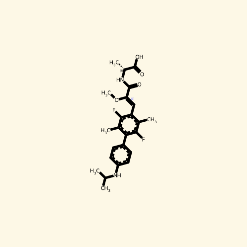 CO/C(=C\c1c(C)c(F)c(-c2ccc(NC(C)C)cc2)c(C)c1F)C(=O)N[C@H](C)C(=O)O